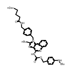 CCCCCCCCCCCCCC(=O)NCc1ccc(Cn2c(CCCC)nc3c(NC(=O)OCc4ccc(NC(C)(C)C)cc4)nc4ccccc4c32)cc1